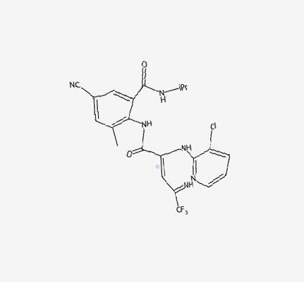 Cc1cc(C#N)cc(C(=O)NC(C)C)c1NC(=O)/C(=C/C(=N)C(F)(F)F)Nc1ncccc1Cl